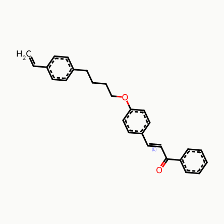 C=Cc1ccc(CCCCOc2ccc(/C=C/C(=O)c3ccccc3)cc2)cc1